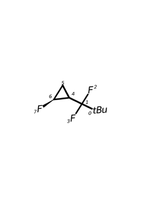 CC(C)(C)C(F)(F)C1C[C@@H]1F